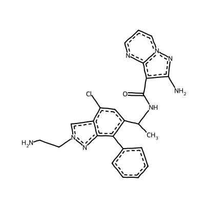 CC(NC(=O)c1c(N)nn2cccnc12)c1cc(Cl)c2cn(CCN)nc2c1-c1ccccc1